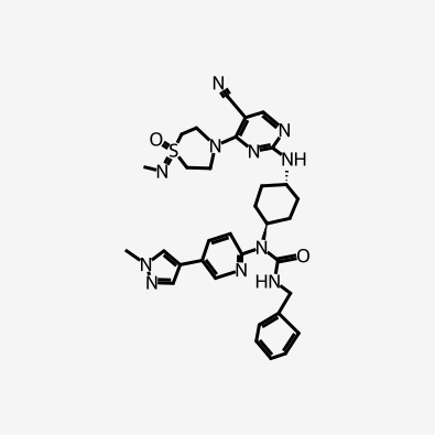 CN=S1(=O)CCN(c2nc(N[C@H]3CC[C@H](N(C(=O)NCc4ccccc4)c4ccc(-c5cnn(C)c5)cn4)CC3)ncc2C#N)CC1